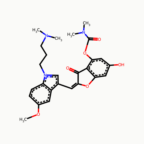 COc1ccc2c(c1)c(C=C1Oc3cc(O)cc(OC(=O)N(C)C)c3C1=O)cn2CCCN(C)C